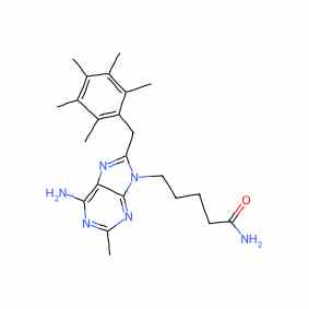 Cc1nc(N)c2nc(Cc3c(C)c(C)c(C)c(C)c3C)n(CCCCC(N)=O)c2n1